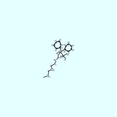 CSCOCCCCO[Si](c1ccccc1)(c1ccccc1)C(C)(C)C